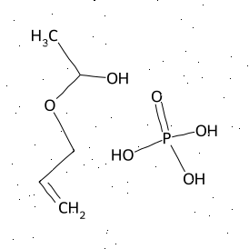 C=CCOC(C)O.O=P(O)(O)O